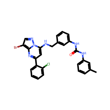 Cc1cccc(NC(=O)Nc2cccc(CNc3cc(-c4ccccc4Cl)nc4c(Br)cnn34)c2)c1